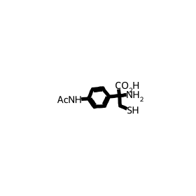 CC(=O)Nc1ccc(C(N)(CS)C(=O)O)cc1